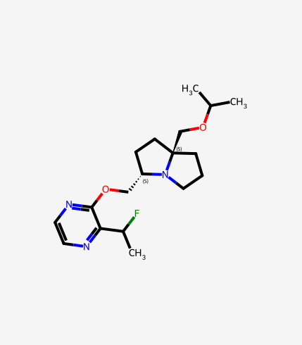 CC(C)OC[C@@]12CCCN1[C@H](COc1nccnc1C(C)F)CC2